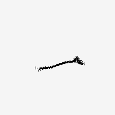 CCCCCCCCCCCCCCCCCCCCCCCCCCCC(=O)OC(CS(=O)(=O)O)C(F)(F)F